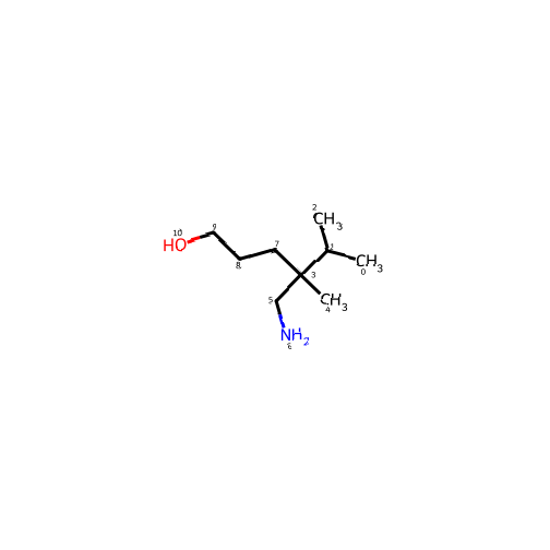 CC(C)C(C)(CN)CCCO